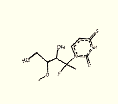 COC(CO)C(O)C(C)(F)n1ccc(=S)[nH]c1=O